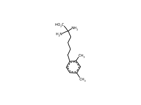 Cc1ccc(CCCCC(N)(N)C(=O)O)c(C)c1